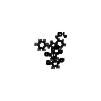 C=Cc1cccnc1C=Cc1ccccc1.O=C1C=CC(=O)N1.O=C1C=CC(=O)N1